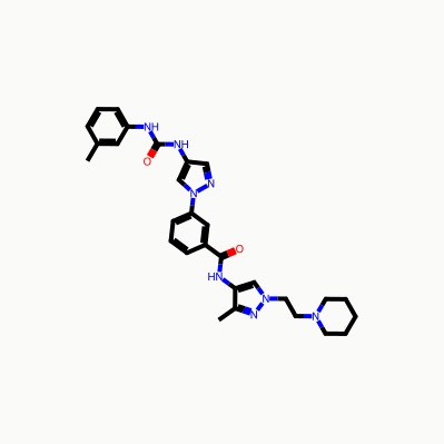 Cc1cccc(NC(=O)Nc2cnn(-c3cccc(C(=O)Nc4cn(CCN5CCCCC5)nc4C)c3)c2)c1